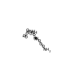 CCOC(=O)C1CCN(C(=O)C(C)(C)NC(=O)Nc2ccc(-c3cn(CCOCCOCCOCCN)nn3)cc2)CC1